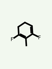 CC1=C(F)CCC=C1F